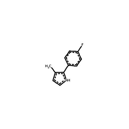 Cc1cc[nH]c1-c1ccc(F)cc1